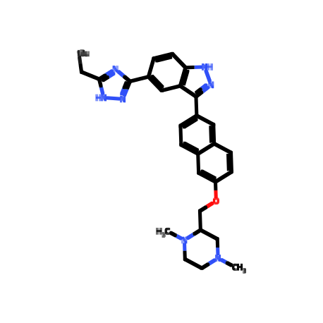 CN1CCN(C)C(COc2ccc3cc(-c4n[nH]c5ccc(-c6n[nH]c(CC(C)(C)C)n6)cc45)ccc3c2)C1